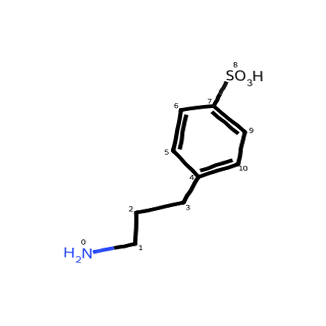 NCCCc1ccc(S(=O)(=O)O)cc1